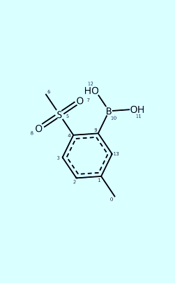 Cc1ccc(S(C)(=O)=O)c(B(O)O)c1